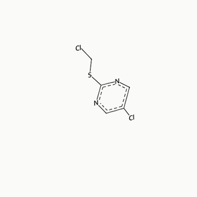 ClCSc1ncc(Cl)cn1